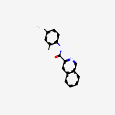 N#Cc1ccc(NC(=O)c2cc3ccccc3cn2)c(C(=O)O)c1